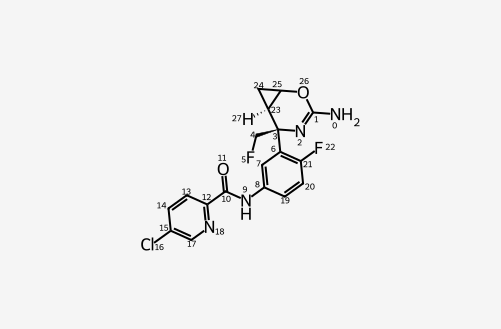 NC1=N[C@](CF)(c2cc(NC(=O)c3ccc(Cl)cn3)ccc2F)[C@H]2CC2O1